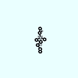 c1ccc(-c2nc(-c3ccc4c(c3)oc3ccccc34)nc(-c3ccccc3-c3cccc4oc5c(-c6ccc7ccccc7c6)cccc5c34)n2)cc1